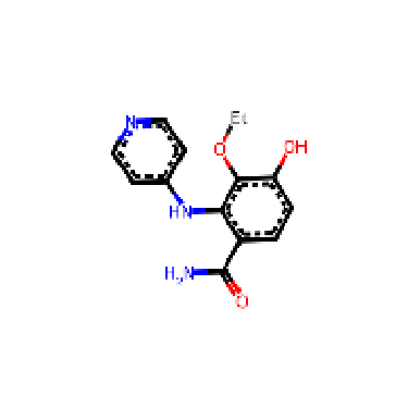 CCOc1c(O)ccc(C(N)=O)c1Nc1ccncc1